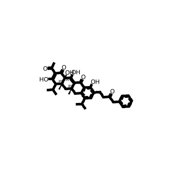 CC(=O)C1=C(O)C(C(C)C)[C@@]2(C)C[C@@]3(C)Cc4c(C(C)C)cc(CCC(=O)Cc5ccccc5)c(O)c4C(=O)C3=C(O)[C@@]2(O)C1=O